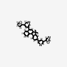 CC1(C)c2cc(-c3cncc(-c4cnco4)c3)ccc2-c2c1cc(-c1cncc(-c3cnco3)c1)c1ccccc21